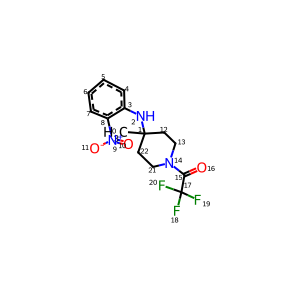 CC1(Nc2ccccc2[N+](=O)[O-])CCN(C(=O)C(F)(F)F)CC1